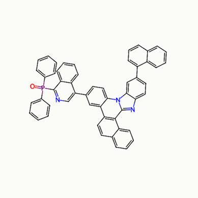 O=P(c1ccccc1)(c1ccccc1)c1ncc(-c2ccc3c(c2)c2ccc4ccccc4c2c2nc4ccc(-c5cccc6ccccc56)cc4n32)c2ccccc12